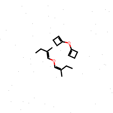 C1=C(OC2=CCC2)CC1.CCC(C)=COC=C(C)CC